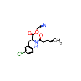 C=CCCC(=O)N[C@@H](Cc1cccc(Cl)c1)C(=O)OCC#N